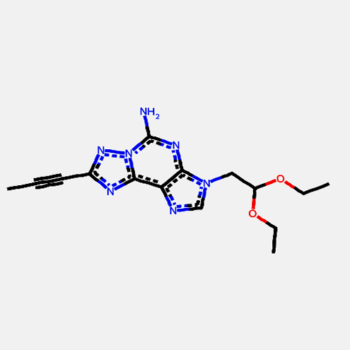 CC#Cc1nc2c3ncn(CC(OCC)OCC)c3nc(N)n2n1